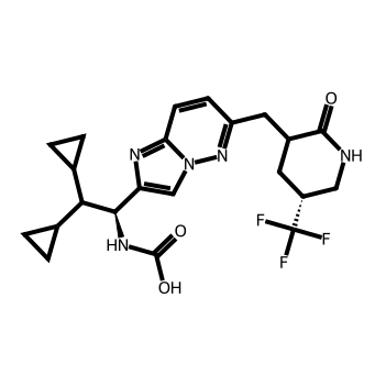 O=C(O)N[C@H](c1cn2nc(CC3C[C@@H](C(F)(F)F)CNC3=O)ccc2n1)C(C1CC1)C1CC1